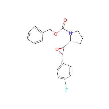 O=C(OCc1ccccc1)N1CCC[C@@H]1[C@@H]1O[C@H]1c1ccc(F)cc1